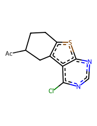 CC(=O)C1CCc2sc3ncnc(Cl)c3c2C1